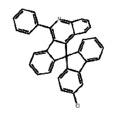 Clc1ccc2c(c1)-c1ccccc1C21c2ccccc2-c2c(-c3ccccc3)nc3ccccc3c21